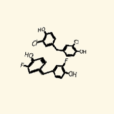 Oc1ccc(Cc2ccc(O)c(Cl)c2)cc1Cl.Oc1ccc(Cc2ccc(O)c(F)c2)cc1F